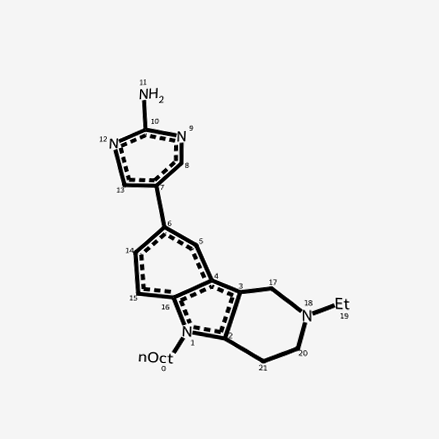 CCCCCCCCn1c2c(c3cc(-c4cnc(N)nc4)ccc31)CN(CC)CC2